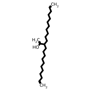 C=CCCCCCCCCCC(CCCCCCCCCC=C)C(=C)O